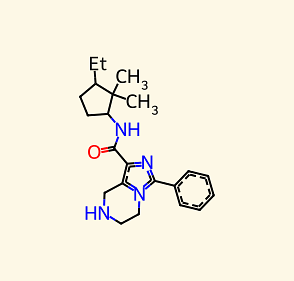 CCC1CCC(NC(=O)c2nc(-c3ccccc3)n3c2CNCC3)C1(C)C